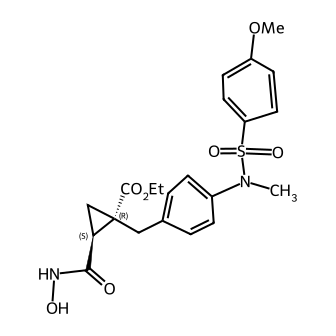 CCOC(=O)[C@@]1(Cc2ccc(N(C)S(=O)(=O)c3ccc(OC)cc3)cc2)C[C@@H]1C(=O)NO